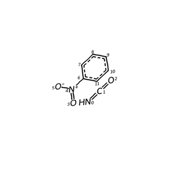 N=C=O.O=[N+]([O-])c1ccccc1